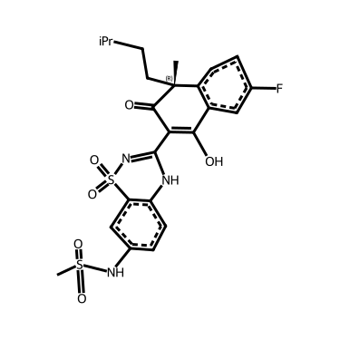 CC(C)CC[C@@]1(C)C(=O)C(C2=NS(=O)(=O)c3cc(NS(C)(=O)=O)ccc3N2)=C(O)c2cc(F)ccc21